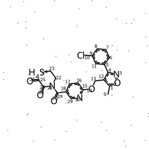 Cc1onc(-c2cccc(Cl)c2)c1COc1ccc(C(=O)N2CC[SH4]C(=O)C2=O)cn1